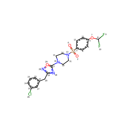 O=S(=O)(c1ccc(OC(F)F)cc1)N1CCN(c2nc(Cc3cccc(Cl)c3)no2)CC1